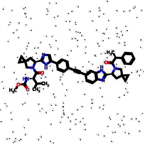 COC(=O)N[C@H](C(=O)N1CC2(CC2)C[C@H]1c1ncc(-c2ccc(C#Cc3ccc4nc([C@@H]5CC6(CC6)CN5C(=O)[C@@H](C)c5ccccc5)[nH]c4c3)cc2)[nH]1)C(C)C